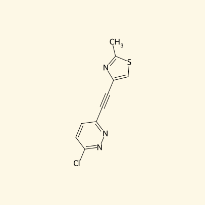 Cc1nc(C#Cc2ccc(Cl)nn2)cs1